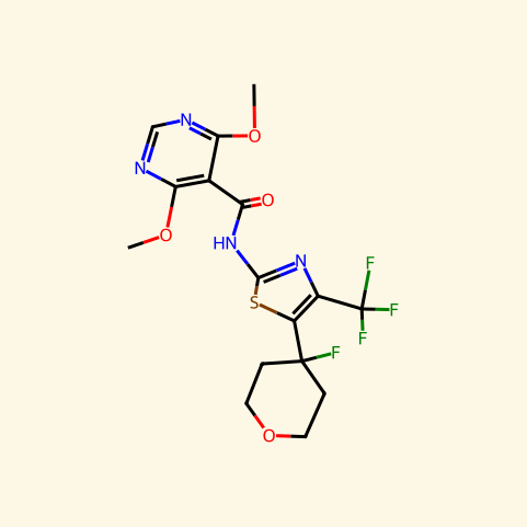 COc1ncnc(OC)c1C(=O)Nc1nc(C(F)(F)F)c(C2(F)CCOCC2)s1